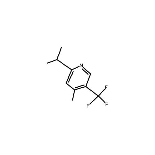 Cc1cc(C(C)C)ncc1C(F)(F)F